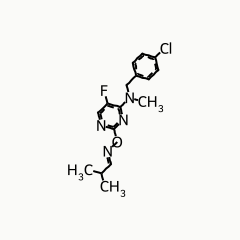 CC(C)C=NOc1ncc(F)c(N(C)Cc2ccc(Cl)cc2)n1